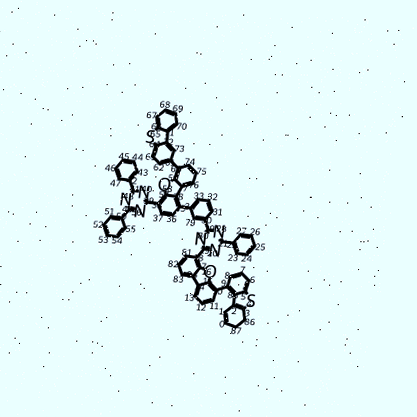 C1=Cc2c(sc3cccc(-c4cccc5c4oc4c(-c6nc(-c7ccccc7)nc(-c7cccc(-c8ccc(-c9nc(-c%10ccccc%10)nc(-c%10ccccc%10)n9)c9oc%10c(-c%11ccc%12sc%13ccccc%13c%12c%11)cccc%10c89)c7)n6)cccc45)c23)CC1